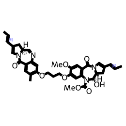 C/C=C/C1=CN2C(=O)c3cc(C)c(OCCCOc4cc5c(cc4OC)C(=O)N4C=C(/C=C/C)C[C@H]4[C@H](O)N5C(=O)OC)cc3N=C[C@@H]2C1